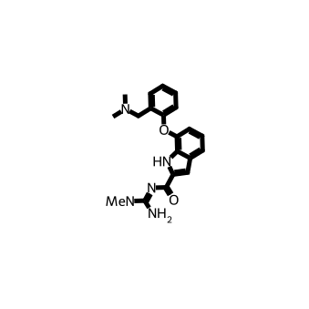 CNC(N)=NC(=O)c1cc2cccc(Oc3ccccc3CN(C)C)c2[nH]1